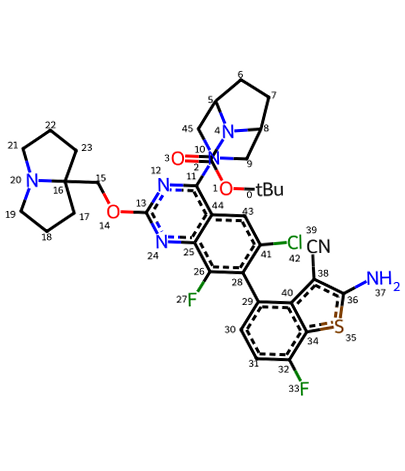 CC(C)(C)OC(=O)N1C2CCC1CN(c1nc(OCC34CCCN3CCC4)nc3c(F)c(-c4ccc(F)c5sc(N)c(C#N)c45)c(Cl)cc13)C2